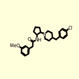 COc1cccc(CC(=O)NC2CCCC2N2CCC(Cc3ccc(Cl)cc3)CC2)c1